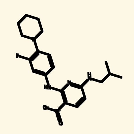 CC(C)CNc1ccc([N+](=O)[O-])c(Nc2ccc(N3CCCCC3)c(F)c2)n1